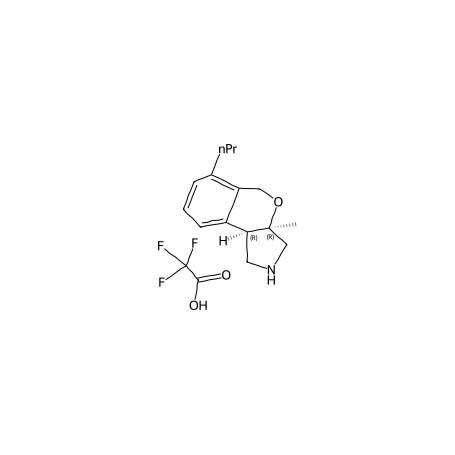 CCCc1cccc2c1CO[C@@]1(C)CNC[C@@H]21.O=C(O)C(F)(F)F